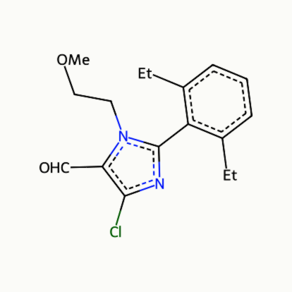 CCc1cccc(CC)c1-c1nc(Cl)c(C=O)n1CCOC